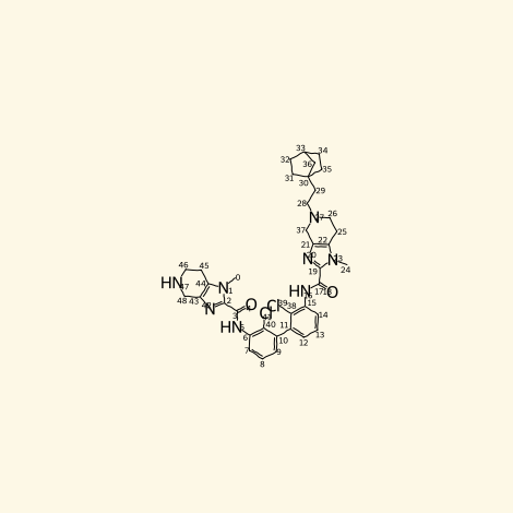 Cn1c(C(=O)Nc2cccc(-c3cccc(NC(=O)c4nc5c(n4C)CCN(CCC46CCC(CC4)C6)C5)c3Cl)c2Cl)nc2c1CCNC2